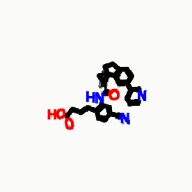 N#Cc1ccc(CCCC(=O)O)c(NC(=O)[C@@H]2C[C@]23CCc2ccc(-c4cccnc4)cc23)c1